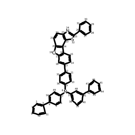 c1ccc(-c2ccc(N(c3ccc(-c4ccc5c(c4)oc4ccc6nc(-c7ccccc7)sc6c45)cc3)c3cccc(-c4ccccc4)c3)cc2)cc1